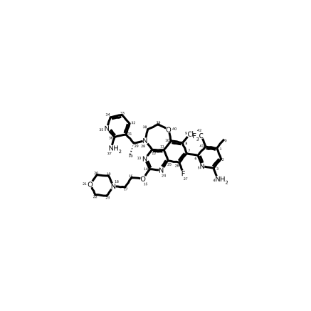 Cc1cc(N)nc(-c2c(Cl)c3c4c(nc(OCCN5CCOCC5)nc4c2F)N([C@H](C)c2cccnc2N)CCO3)c1C(F)(F)F